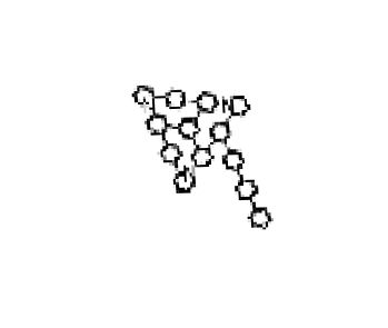 c1ccc(-c2ccc(-c3ccc(-c4cc(-c5ccccn5)ccc4-c4ccccc4-c4cc(-c5ccccc5-c5ccc(-c6ccccn6)cc5)cc(-c5ccccc5-c5ccc(-c6ccccn6)cc5)c4)cc3)cc2)cc1